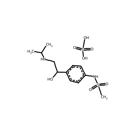 CC(C)NCC(O)c1ccc(NS(C)(=O)=O)cc1.O=S(=O)(O)O